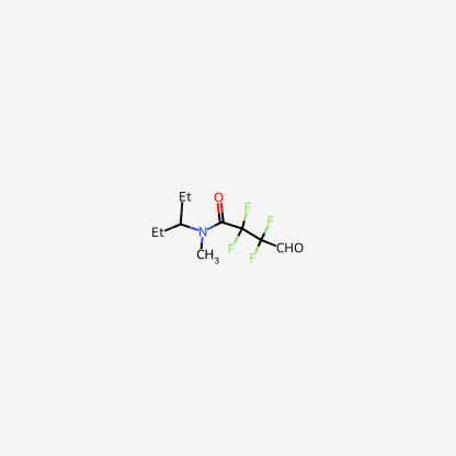 CCC(CC)N(C)C(=O)C(F)(F)C(F)(F)C=O